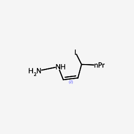 CCCC(I)/C=C\NN